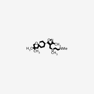 CNCCN(C)Cc1c(C)noc1[C@H]1CC[C@]2(CC1)CC(C)(C)CO2